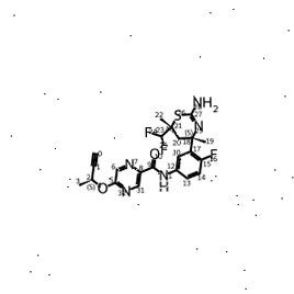 C#C[C@H](C)Oc1cnc(C(=O)Nc2ccc(F)c([C@]3(C)C[C@](C)(C(F)F)SC(N)=N3)c2)cn1